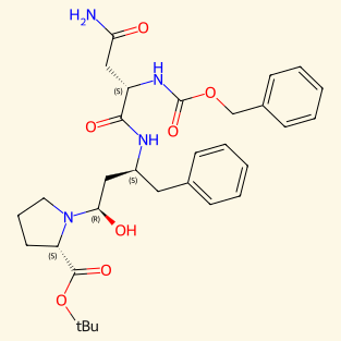 CC(C)(C)OC(=O)[C@@H]1CCCN1[C@H](O)C[C@H](Cc1ccccc1)NC(=O)[C@H](CC(N)=O)NC(=O)OCc1ccccc1